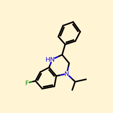 CC(C)N1CC(c2ccccc2)Nc2cc(F)ccc21